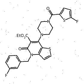 CCOC(=O)c1c(N2CCN(C(=O)c3ccc(F)s3)CC2)c2sccc2n(Cc2cccc(F)c2)c1=O